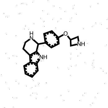 c1ccc2c3c([nH]c2c1)C(c1ccc(OC2CNC2)cc1)NCC3